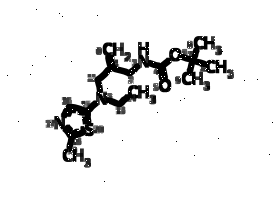 C=C(CNC(=O)OC(C)(C)C)CN(CC)c1cnc(C)s1